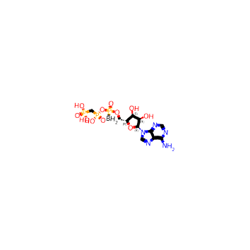 BP(=O)(OC[C@H]1O[C@@H](n2cnc3c(N)ncnc32)[C@H](O)[C@@H]1O)OP(=O)(O)CP(=O)(O)O